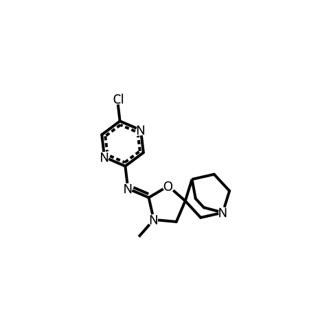 CN1CC2(CN3CCC2CC3)OC1=Nc1cnc(Cl)cn1